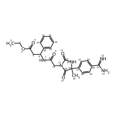 CCOC(=O)CC(NC(=O)CN1C(=O)NC(C)(c2ccc(C(=N)N)cc2)C1=O)c1ccccc1